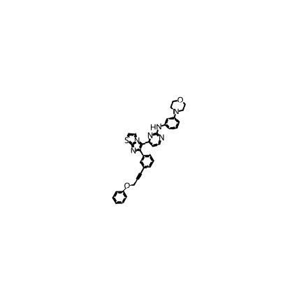 C(#Cc1cccc(-c2nc3sccn3c2-c2ccnc(Nc3cccc(N4CCOCC4)c3)n2)c1)COc1ccccc1